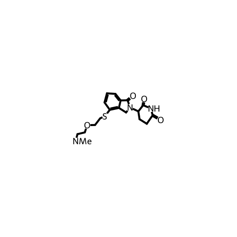 CNCCOCCSc1cccc2c1CN(C1CCC(=O)NC1=O)C2=O